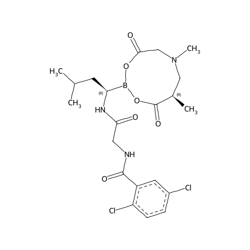 CC(C)C[C@H](NC(=O)CNC(=O)c1cc(Cl)ccc1Cl)B1OC(=O)CN(C)C[C@@H](C)C(=O)O1